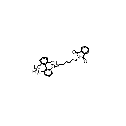 Cc1cccc(C)c1-c1c(C)cccc1OCCCCCCCN1C(=O)c2ccccc2C1=O